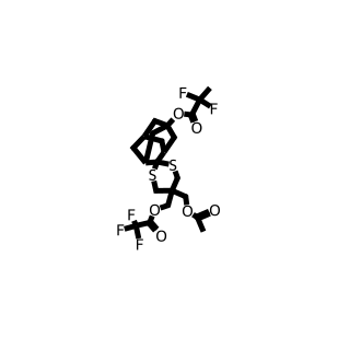 CC(=O)OCC1(COC(=O)C(F)(F)F)CSC2(SC1)C1CC3CC2CC(OC(=O)C(C)(F)F)(C3)C1